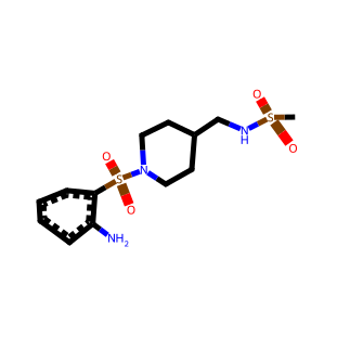 CS(=O)(=O)NCC1CCN(S(=O)(=O)c2ccccc2N)CC1